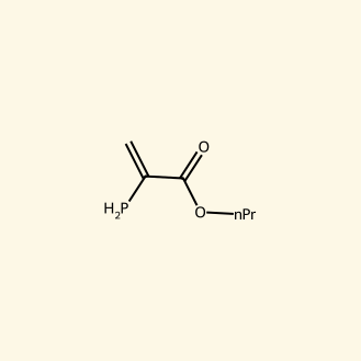 C=C(P)C(=O)OCCC